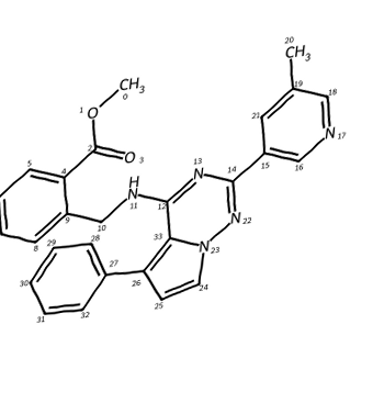 COC(=O)c1ccccc1CNc1nc(-c2cncc(C)c2)nn2ccc(-c3ccccc3)c12